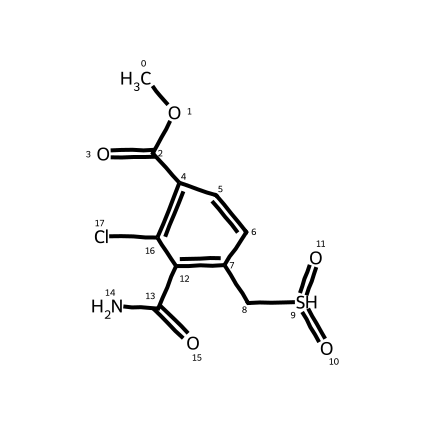 COC(=O)c1ccc(C[SH](=O)=O)c(C(N)=O)c1Cl